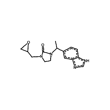 CC(c1ccc2[nH]cnc2c1)N1CCN(CC2CO2)C1=O